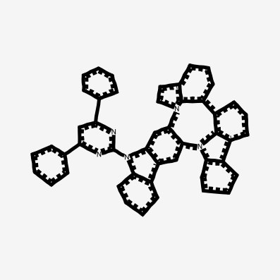 c1ccc(-c2cc(-c3ccccc3)nc(-n3c4ccccc4c4cc5c(cc43)n3ccc4cccc(c6cccc7c8ccccc8n5c67)c43)n2)cc1